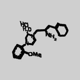 COc1ccccc1N1CCN(C[C@H](N)CC2CCCCC2)CC1.Cl.O